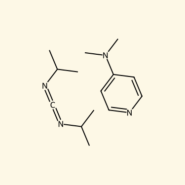 CC(C)N=C=NC(C)C.CN(C)c1ccncc1